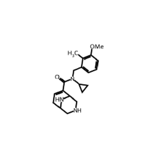 COc1cccc(CN(C(=O)C2=CCC3CNCC2N3)C2CC2)c1C